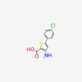 CNc1cc(-c2ccc(Cl)cc2)sc1C(=O)O